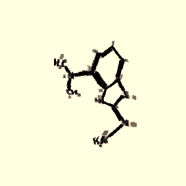 CN(C)c1cccc2sc(=NN)[nH]c12